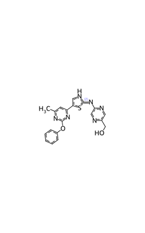 Cc1cc(-c2c[nH]/c(=N/c3cnc(CO)cn3)s2)nc(Oc2ccccc2)n1